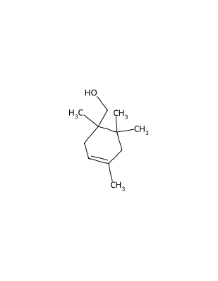 CC1=CCC(C)(CO)C(C)(C)C1